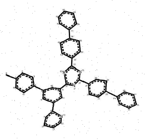 Cc1ccc(-c2cc(-c3ccccn3)cc(-c3nc(-c4ccc(-c5ccccc5)cc4)nc(-c4ccc(-c5ccccc5)cc4)n3)c2)cc1